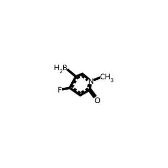 Bc1cn(C)c(=O)cc1F